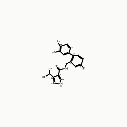 O=C(NCc1cc(F)ccc1-c1ccc(F)c(F)c1)c1c[nH]nc1C(F)F